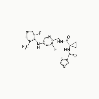 O=C(NC1(C(=O)NCc2ncc(Nc3c(F)cccc3C(F)(F)F)cc2F)CC1)c1cncs1